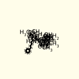 COC(=O)[C@H](C(C)C)N(C(=O)CCCCCc1ccccc1)C(=O)[C@@H](N)C(CO)CNC(=O)[C@H](C)N(C(=O)OC(C)(C)C)C(=O)[C@H](C)NC(=O)[C@@H](N)CO